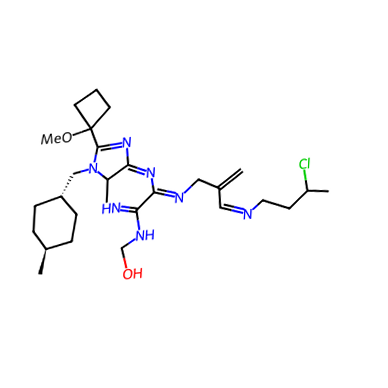 C=C(/C=N\CCC(C)Cl)C/N=C(\N=C1\N=C(C2(OC)CCC2)N(C[C@H]2CC[C@H](C)CC2)C1C)C(=N)NCO